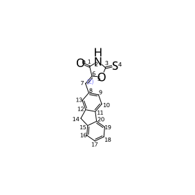 O=C1NC(=S)O/C1=C\c1ccc2c(c1)Cc1ccccc1-2